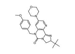 COc1ccc(CN2C(=O)N3CC(C(C)(C)C)N=C3c3ncc(N4CCOCC4)cc32)cc1